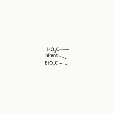 CC(=O)O.CCCCCC.CCOC(C)=O